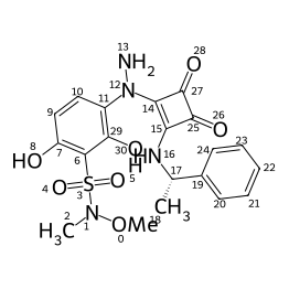 CON(C)S(=O)(=O)c1c(O)ccc(N(N)c2c(N[C@@H](C)c3ccccc3)c(=O)c2=O)c1O